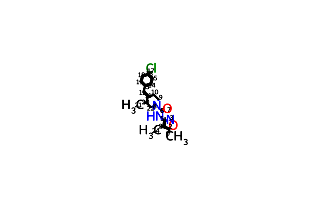 Cc1onc(NC(=O)N2CCC(=Cc3ccc(Cl)cc3)C(C)C2)c1C